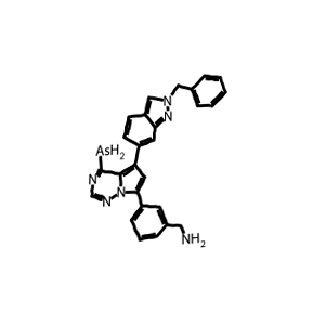 NCc1cccc(-c2cc(-c3ccc4cn(Cc5ccccc5)nc4c3)c3c([AsH2])ncnn23)c1